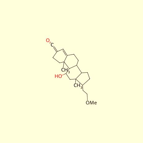 COCCC1CCC2C3CCC4=CC(=C=O)CCC4(C)C3C(O)CC12C